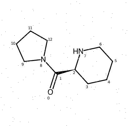 O=C([C@@H]1CCCCN1)N1CCCC1